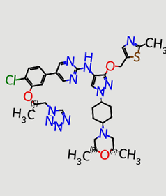 Cc1ncc(COc2nn([C@H]3CC[C@H](N4C[C@@H](C)O[C@@H](C)C4)CC3)cc2Nc2ncc(-c3ccc(Cl)c(O[C@@H](C)Cn4cnnn4)c3)cn2)s1